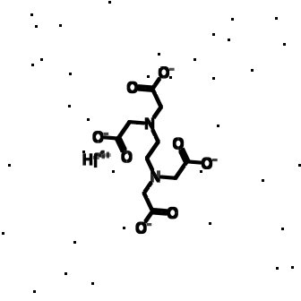 O=C([O-])CN(CCN(CC(=O)[O-])CC(=O)[O-])CC(=O)[O-].[Hf+4]